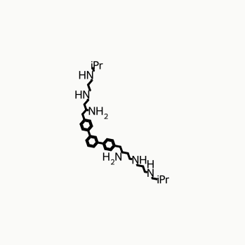 CC(C)CNCCCNCCC(N)Cc1ccc(-c2cccc(-c3ccc(CC(N)CCNCCCNCC(C)C)cc3)c2)cc1